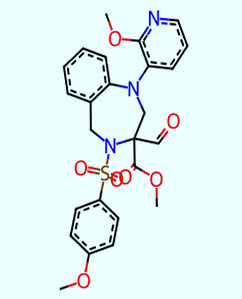 COC(=O)C1(C=O)CN(c2cccnc2OC)c2ccccc2CN1S(=O)(=O)c1ccc(OC)cc1